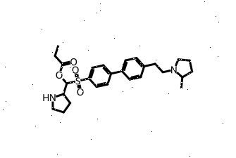 CCC(=O)OC(C1CCCN1)S(=O)(=O)c1ccc(-c2ccc(CCN3CCCC3C)cc2)cc1